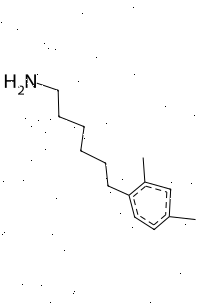 Cc1ccc(CCCCCCN)c(C)c1